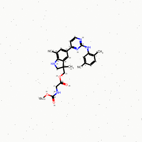 Cc1ccc(C#N)cc1Nc1nccc(-c2cc(C#N)c3c(c2)C(C)(COC(=O)CNC(=O)OC(C)(C)C)CN3)n1